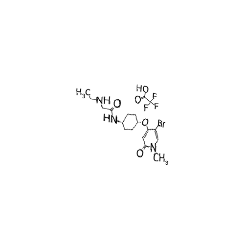 CCNCC(=O)N[C@H]1CC[C@H](Oc2cc(=O)n(C)cc2Br)CC1.O=C(O)C(F)(F)F